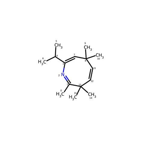 C/C1=N/C(C(C)C)=C\C(C)(C)/C=C\C1(C)C